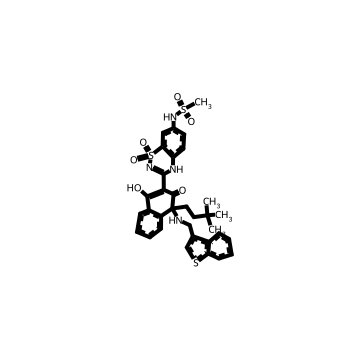 CC(C)(C)CCC1(NCc2csc3ccccc23)C(=O)C(C2=NS(=O)(=O)c3cc(NS(C)(=O)=O)ccc3N2)=C(O)c2ccccc21